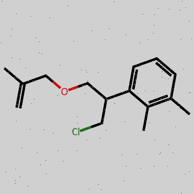 C=C(C)COCC(CCl)c1cccc(C)c1C